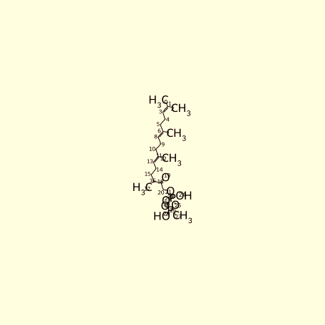 CC(C)=CCC/C(C)=C/CC/C(C)=C/CCC(C)C(=O)COP(=O)(O)OP(C)(=O)O